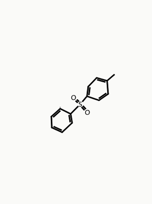 Cc1ccc(S(=O)(=O)c2[c]cccc2)cc1